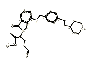 CNC(=O)C(CCC=O)N1Cc2c(OCc3ccc(CCC4CCOCC4)cc3)cccc2C1=O